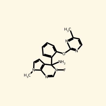 Cc1ccnc(Oc2ccccc2C2(N)c3ccn(C)c3N=CN2F)n1